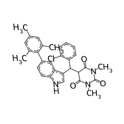 Cc1cc(C)c(-c2ccc3[nH]cc(C(c4ccccc4Cl)C4C(=O)N(C)C(=O)N(C)C4=O)c3c2)c(C)c1